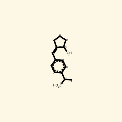 CC(C(=O)O)c1ccc(/C=C2/CCCC2O)cc1